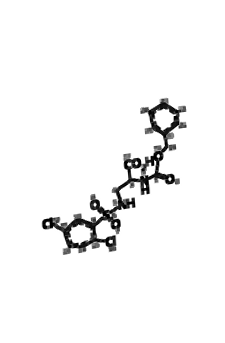 O=C(NC(CNS(=O)(=O)c1cc(Cl)ccc1Cl)C(=O)O)OCc1ccccc1